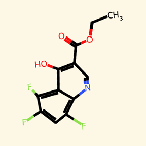 CCOC(=O)c1cnc2c(F)cc(F)c(F)c2c1O